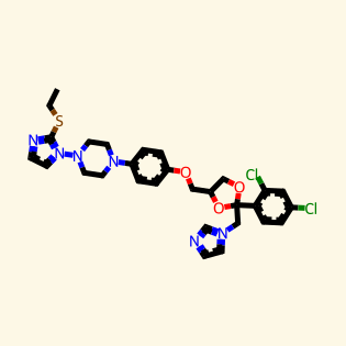 CCSc1nccn1N1CCN(c2ccc(OCC3COC(Cn4ccnc4)(c4ccc(Cl)cc4Cl)O3)cc2)CC1